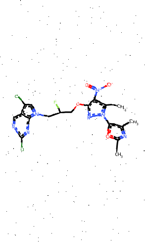 Cc1nc(C)c(-n2nc(OCC(F)Cn3cc(Cl)c4cnc(Cl)nc43)c([N+](=O)[O-])c2C)o1